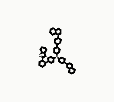 c1ccc(-c2cc3ccccc3o2)c(-c2ccc(N(c3ccc(-c4ccc(-c5cccc6ccccc56)cc4)cc3)c3ccc(-c4ccc5ccccc5c4)cc3)cc2)c1